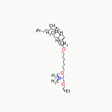 CC/C=C\COC[C@H](COCCCCCCCCO[C@H]1CC[C@@]2(C)C(=CC[C@H]3[C@@H]4CC[C@H]([C@H](C)CCCC(C)C)[C@@]4(C)CC[C@@H]32)C1)N(C)C